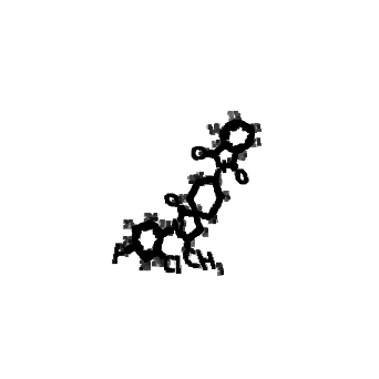 CC1CC2(CCC(N3C(=O)c4ccccc4C3=O)CC2)C(=O)N1c1ccc(F)cc1Cl